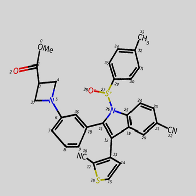 COC(=O)C1CN(c2cccc(-c3c(-c4ccsc4C#N)c4cc(C#N)ccc4n3[S+]([O-])c3ccc(C)cc3)c2)C1